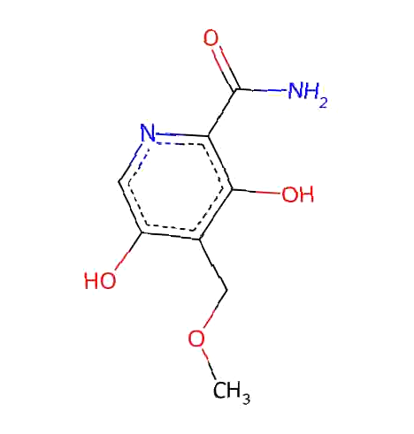 COCc1c(O)cnc(C(N)=O)c1O